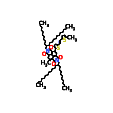 CCCCCCCCCCCCC(CCCCCCCCCC)CN1C(=O)c2cc(-c3ccc(/C=C/c4ccc(C)s4)s3)c3c4c(cc(C)c(c24)C1=O)C(=O)N(CC(CCCCCCCCCC)CCCCCCCCCCCC)C3=O